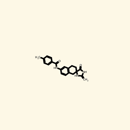 C=C1NC(=O)C2(CCc3cc(NC(=O)c4ccc(C)cc4)ccc3C2)N1